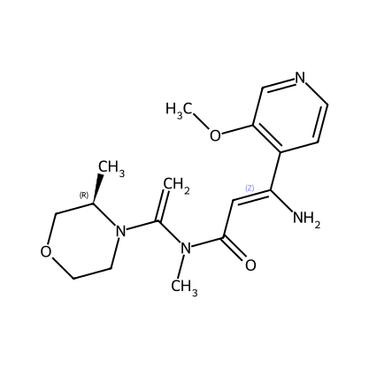 C=C(N(C)C(=O)/C=C(\N)c1ccncc1OC)N1CCOC[C@H]1C